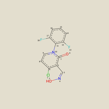 O=c1c(/C=N\O)c(Cl)ccn1-c1c(F)cccc1F